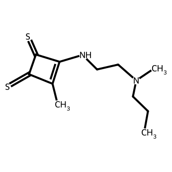 CCCN(C)CCNc1c(C)c(=S)c1=S